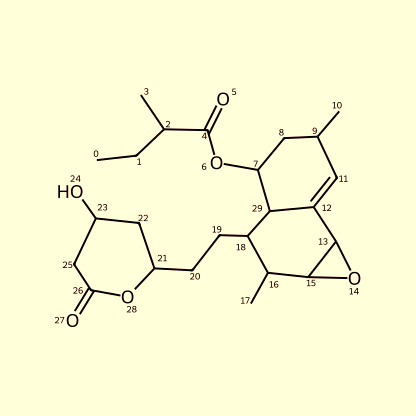 CCC(C)C(=O)OC1CC(C)C=C2C3OC3C(C)C(CCC3CC(O)CC(=O)O3)C21